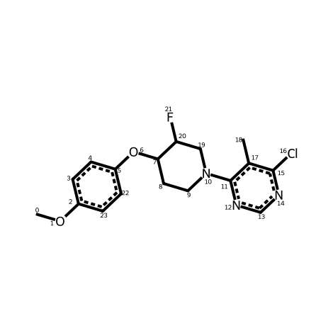 COc1ccc(OC2CCN(c3ncnc(Cl)c3C)CC2F)cc1